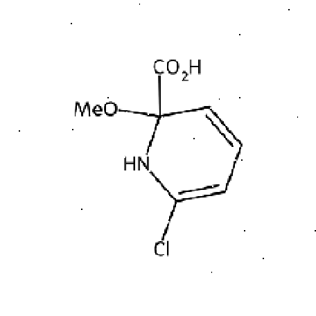 COC1(C(=O)O)C=CC=C(Cl)N1